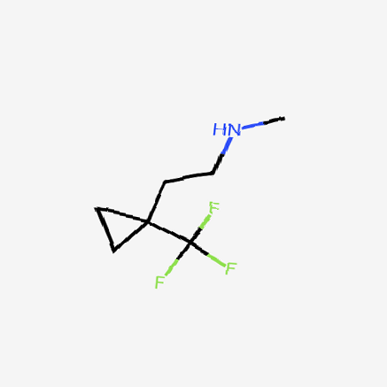 CNCCC1(C(F)(F)F)CC1